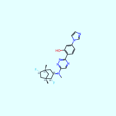 CN(c1cnc(-c2ccc(-n3ccnc3)cc2O)nn1)[C@@H]1C[C@]2(C)C[C@@](C)(C[C@@H]2F)[C@H]1F